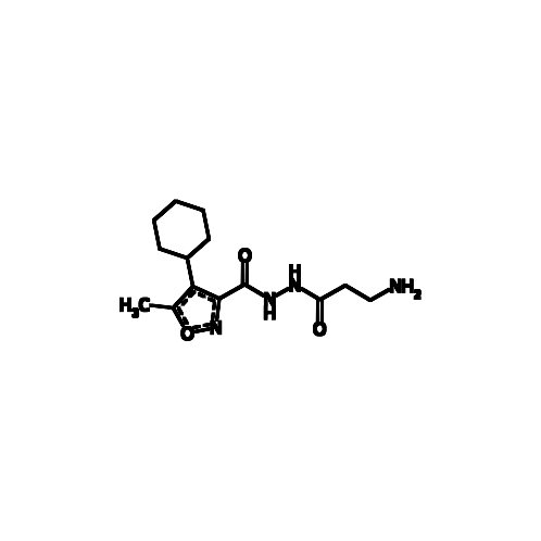 Cc1onc(C(=O)NNC(=O)CCN)c1C1CCCCC1